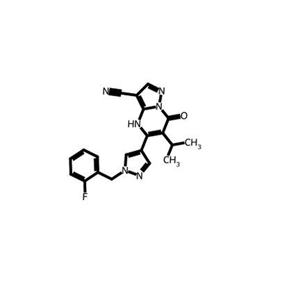 CC(C)c1c(-c2cnn(Cc3ccccc3F)c2)[nH]c2c(C#N)cnn2c1=O